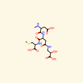 CNC(CC(=O)O)C(=O)NC(CC(=O)NCC(O)C(=O)O)C(=O)NC(CSC)C(=O)O